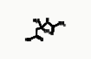 CC(C)(CC(=O)O)NC(N)=O